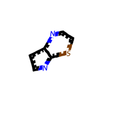 c1csc2nccc-2n1